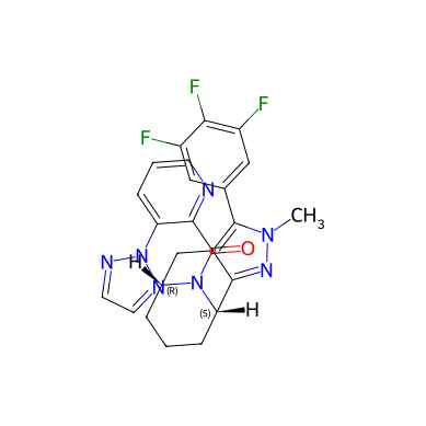 Cn1nc2c(c1-c1cc(F)c(F)c(F)c1)C[C@H]1CCC[C@@H]2N1C(=O)c1ncccc1-n1nccn1